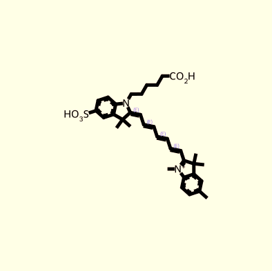 Cc1ccc2c(c1)C(C)(C)C(/C=C/C=C/C=C/C=C1/N(CCCCCC(=O)O)c3ccc(S(=O)(=O)O)cc3C1(C)C)=[N+]2C